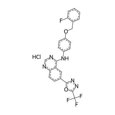 Cl.Fc1ccccc1COc1ccc(Nc2ncnc3ccc(-c4nnc(C(F)(F)F)o4)cc23)cc1